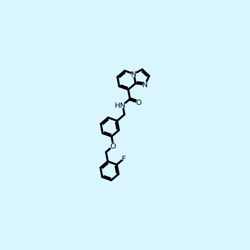 O=C(NCc1cccc(OCc2ccccc2F)c1)c1cccn2ccnc12